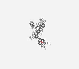 COc1ccc(CN(Cc2ccc(OC)cc2)c2cc(C)c(C(F)(F)F)c(-c3c(F)c4c5c(c3Cl)=NCNC=5N(C(C)c3cccnc3NC(=O)O)C=C(OCC3(C#N)CCOCC3)O4)n2)cc1